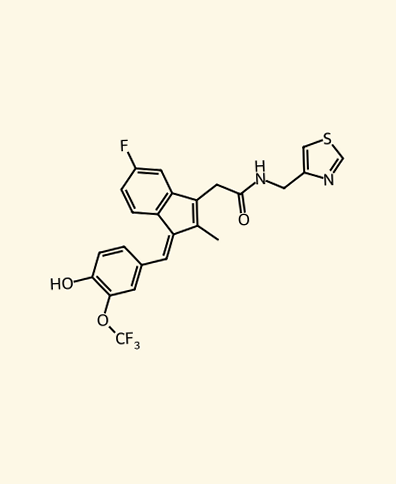 CC1=C(CC(=O)NCc2cscn2)c2cc(F)ccc2C1=Cc1ccc(O)c(OC(F)(F)F)c1